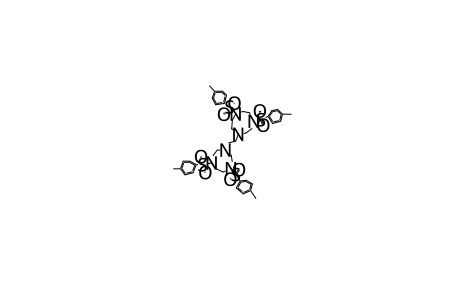 Cc1ccc(S(=O)(=O)N2CCN(CCN3CCN(S(=O)(=O)c4ccc(C)cc4)CCN(S(=O)(=O)c4ccc(C)cc4)CC3)CCN(S(=O)(=O)c3ccc(C)cc3)CC2)cc1